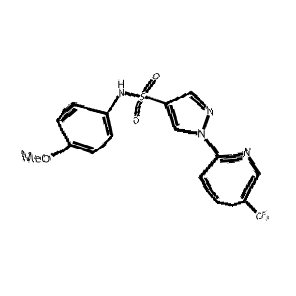 COc1ccc(NS(=O)(=O)c2cnn(-c3ccc(C(F)(F)F)cn3)c2)cc1